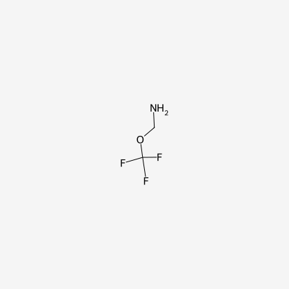 NCOC(F)(F)F